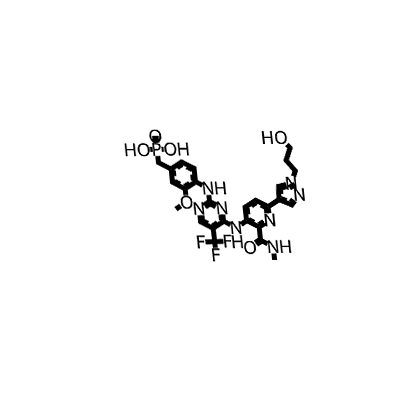 CNC(=O)c1nc(-c2cnn(CCCO)c2)ccc1Nc1nc(Nc2ccc(CP(=O)(O)O)cc2OC)ncc1C(F)(F)F